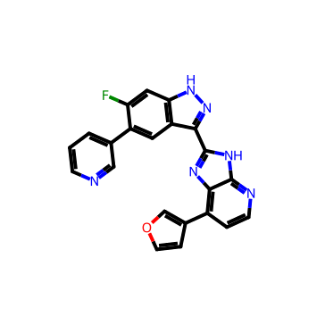 Fc1cc2[nH]nc(-c3nc4c(-c5ccoc5)ccnc4[nH]3)c2cc1-c1cccnc1